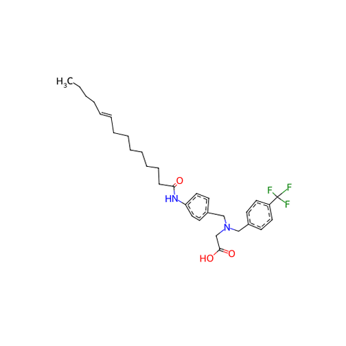 CCCCC=CCCCCCCCC(=O)Nc1ccc(CN(CC(=O)O)Cc2ccc(C(F)(F)F)cc2)cc1